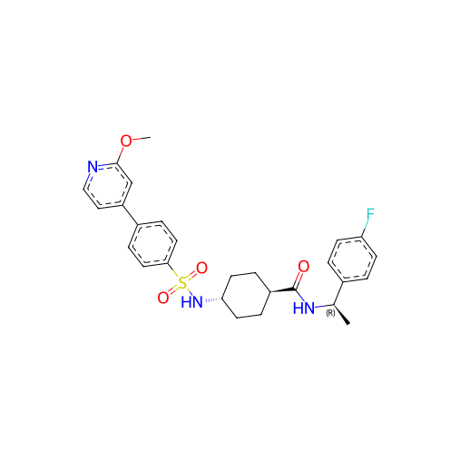 COc1cc(-c2ccc(S(=O)(=O)N[C@H]3CC[C@H](C(=O)N[C@H](C)c4ccc(F)cc4)CC3)cc2)ccn1